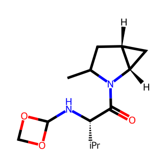 CC(C)[C@H](NC1OCO1)C(=O)N1C(C)C[C@@H]2C[C@@H]21